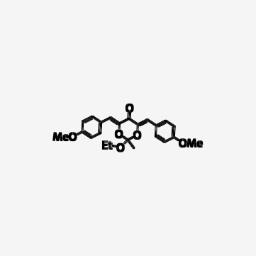 CCOC1(C)O/C(=C\c2ccc(OC)cc2)C(=O)/C(=C/c2ccc(OC)cc2)O1